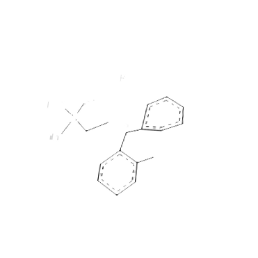 CC(C)[N+](C)(CC[C@H](c1ccccc1)c1ccccc1O)C(C)C.[Br-]